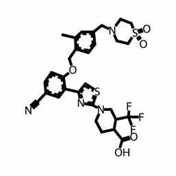 Cc1cc(CN2CCS(=O)(=O)CC2)ccc1COc1ccc(C#N)cc1-c1csc(N2CCC(C(=O)O)C(C(F)(F)F)C2)n1